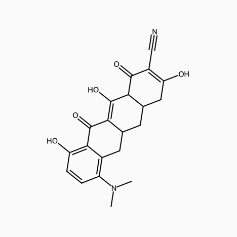 CN(C)c1ccc(O)c2c1CC1CC3CC(O)=C(C#N)C(=O)C3C(O)=C1C2=O